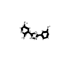 Fc1cccc(-c2nnc(-c3cc(F)cnc3F)o2)c1